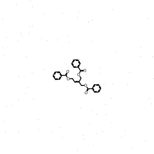 O=C(OCC=C(COC(=O)c1ccccc1)COC(=O)c1ccccc1)c1ccccc1